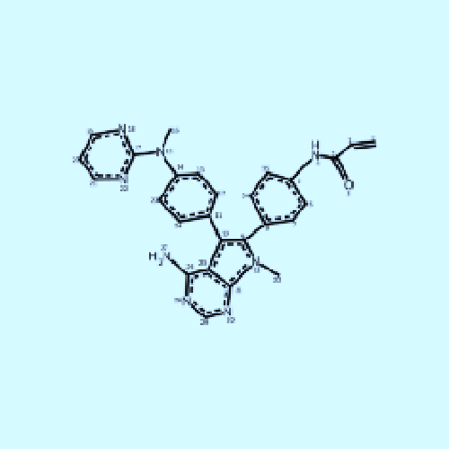 C=CC(=O)Nc1ccc(-c2c(-c3ccc(N(C)c4ncccn4)cc3)c3c(N)ncnc3n2C)cc1